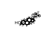 CC1(O)CC[C@@]2(C)C(CC[C@H]3[C@@H]4CC[C@H](C(=O)CS(C)(=O)=O)[C@@]4(C)CC[C@@H]32)C1